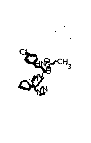 CCCS(=O)(=O)NC(Cc1ccc(Cl)cc1)C(=O)N1CCC(Cn2ccnc2)(C2CCCCC2)CC1